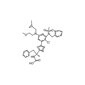 COCCN(CC1CC1C)c1cc(-c2nnc([C@@](C)(Cc3ccccc3)NC(=O)O)o2)c(Cl)c(N(Cc2ccccn2)S(C)(=O)=O)n1